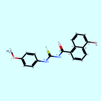 COc1ccc(NC(=S)NC(=O)c2cccc3c(Br)cccc23)cc1